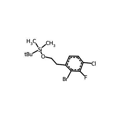 CC(C)(C)[Si](C)(C)OCCc1ccc(Cl)c(F)c1Br